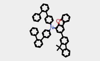 CC1(C)c2ccccc2-c2ccc(-c3cc(N(c4ccc(-c5ccccc5-c5ccccc5)cc4)c4ccc(-c5ccccc5-c5ccccc5)cc4)c4oc5ccccc5c4c3)cc21